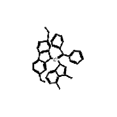 CCc1ccc2c(c1)[CH]([Zr](=[C](c1ccccc1)c1ccccc1)[CH]1C=C(C)c3c(C)cccc31)c1cc(CC)ccc1-2